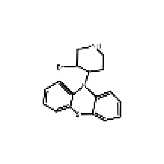 BrC1CNCCC1N1c2ccccc2Sc2ccccc21